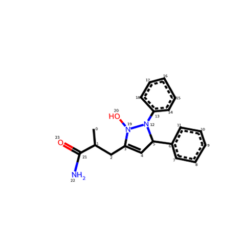 CC(CC1=CC(c2ccccc2)N(c2ccccc2)N1O)C(N)=O